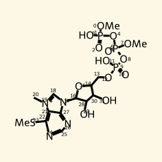 COP(=O)(O)OP(=O)(OC)OP(=O)(O)OCC1OC(n2c[n+](C)c3c(SC)ncnc32)C(O)C1O